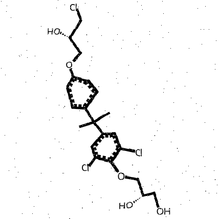 CC(C)(c1ccc(OC[C@H](O)CCl)cc1)c1cc(Cl)c(OC[C@@H](O)CO)c(Cl)c1